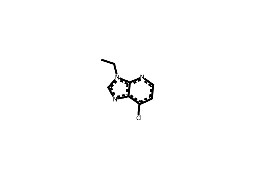 CCn1cnc2c(Cl)ccnc21